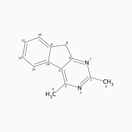 Cc1nc(C)c2c(n1)Cc1ccccc1-2